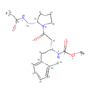 CC(C)(C)OC(=O)N[C@@H](CC(=O)N1CCC[C@H]1CNC(=O)C(F)(F)F)Cc1ccccc1F